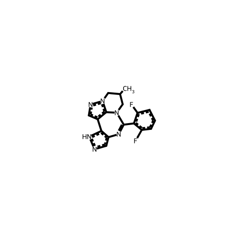 CC1CN2C(c3c(F)cccc3F)=Nc3cn[nH]c3-c3cnn(c32)C1